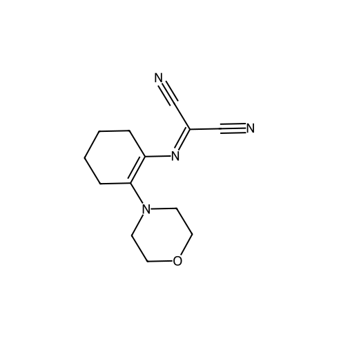 N#CC(C#N)=NC1=C(N2CCOCC2)CCCC1